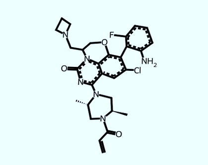 C=CC(=O)N1C[C@H](C)N(c2nc(=O)n3c4c(c(-c5c(N)cccc5F)c(Cl)cc24)OCC3CN2CCC2)C[C@H]1C